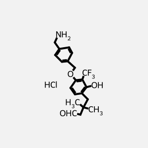 CC(C)(CC=O)Cc1ccc(OCc2ccc(CN)cc2)c(C(F)(F)F)c1O.Cl